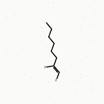 CCCCCCC(F)=CF